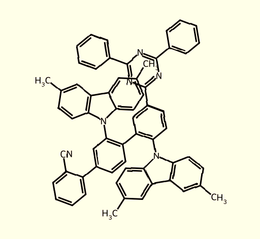 Cc1ccc2c(c1)c1cc(C)ccc1n2-c1ccc(-c2nc(-c3ccccc3)nc(-c3ccccc3)n2)cc1-c1ccc(-c2ccccc2C#N)cc1-n1c2ccc(C)cc2c2cc(C)ccc21